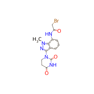 Cn1nc(N2CCC(=O)NC2=O)c2cccc(NC(=O)CBr)c21